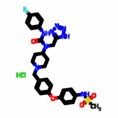 CS(=O)(=O)Nc1ccc(Oc2ccc(CN3CCC(N(Cc4nnn[nH]4)C(=O)Nc4ccc(F)cc4)CC3)cc2)cc1.Cl